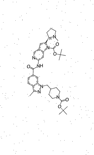 Cc1nn(CC2CCN(C(=O)OC(C)(C)C)CC2)c2cc(C(=O)Nc3cc4c(cn3)cc([C@H]3CCCN3C)n4C(=O)OC(C)(C)C)ccc12